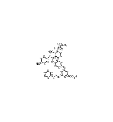 Cc1c(NS(C)(=O)=O)cccc1N(Cc1ccc(C#N)cc1)Cc1ccc(Oc2cc(OCCc3cccnc3)cc(C(=O)O)c2)cc1